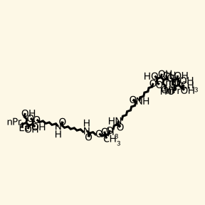 CCCC(CC)C1C(CO)OC(OCCCCCCNC(=O)CCCCCCCNC(=O)CCOCC(C)(C)COCCC(=O)NCCCCCCCC(=O)NCCCCCCOC2OC(CO)C(C(C)(CCC)OC3OC(CO)C(C(C)(O)CCC)C(O)C3O)C(O)C2O)C(O)C1O